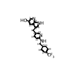 Oc1cnc2[nH]cc(Cc3ccc(NCC4C=CC(C(F)(F)F)=CC4)nc3)c2c1